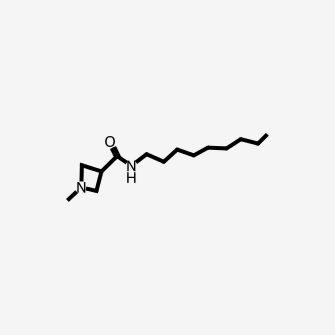 CCCCCCCCCNC(=O)C1CN(C)C1